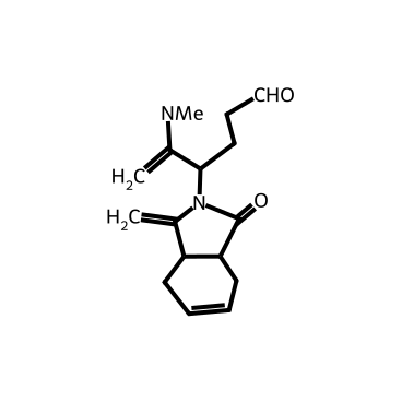 C=C(NC)C(CCC=O)N1C(=C)C2CC=CCC2C1=O